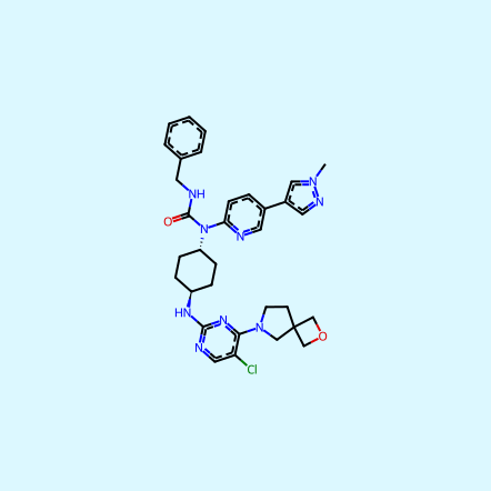 Cn1cc(-c2ccc(N(C(=O)NCc3ccccc3)[C@H]3CC[C@H](Nc4ncc(Cl)c(N5CCC6(COC6)C5)n4)CC3)nc2)cn1